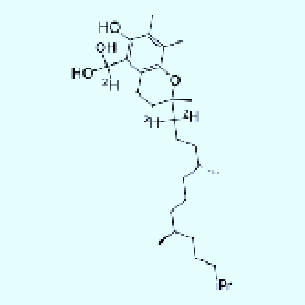 [2H]C(O)(O)c1c(O)c(C)c(C)c2c1CC[C@@](C)(C([2H])([2H])CC[C@H](C)CCC[C@H](C)CCCC(C)C)O2